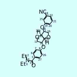 CCN(CC)C(=O)c1ccc(O[C@@H]2CO[C@H]3[C@@H]2OC[C@@H]3Oc2cccc(C#N)c2)cc1